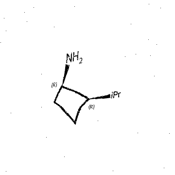 CC(C)[C@H]1CC[C@H]1N